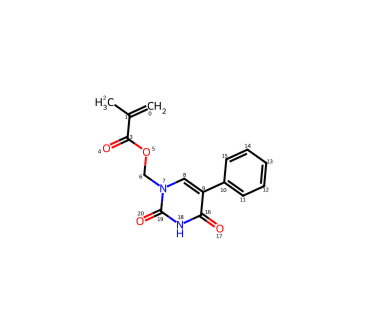 C=C(C)C(=O)OCn1cc(-c2ccccc2)c(=O)[nH]c1=O